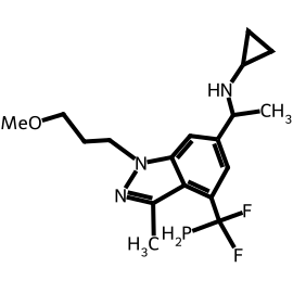 COCCCn1nc(C)c2c(C(F)(F)P)cc(C(C)NC3CC3)cc21